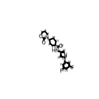 O=C1OCCCN1[C@H]1CC[C@H](C(=O)Nc2cnn(-c3cc(F)cc(F)c3)c2)CC1